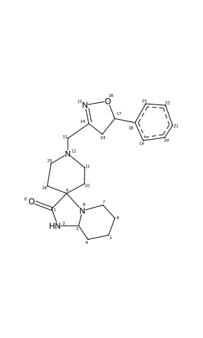 O=C1NC2CCCCN2C12CCN(CC1=NOC(c3ccccc3)C1)CC2